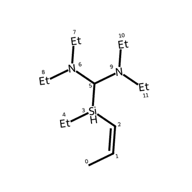 C/C=C\[SiH](CC)C(N(CC)CC)N(CC)CC